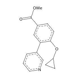 COC(=O)c1ccc(OC2CC2)c(-c2cccnc2)c1